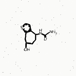 NC(=O)NC1CCC(O)Cc2sccc21